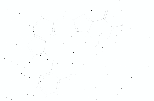 CN(C)C(=O)c1cc(Nc2ncc3cnn(Cc4ccccc4F)c3n2)cn1C